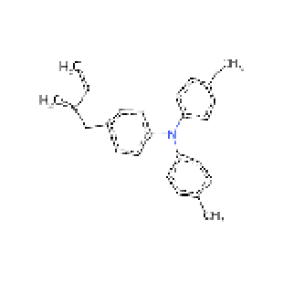 C=CC(=C)Cc1ccc(N(c2ccc(C)cc2)c2ccc(C)cc2)cc1